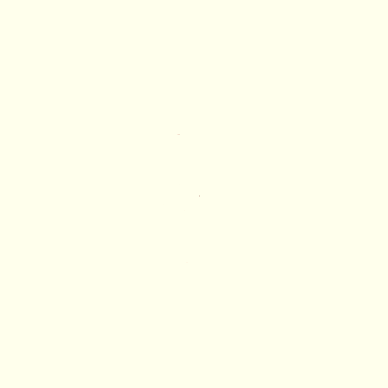 OC1(c2ccccc2-c2ccc3ccccc3c2)c2cc(Br)ccc2-c2ccccc2-c2ccc(Br)cc21